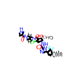 COc1ccc(-c2cnc(C(=O)Nc3ccc(C(=O)N4C[C@@H]5CN(C(=O)[C@@H]6CCNC6)C[C@@H]5C4)c(Cl)c3)n2C)c(F)c1F.O=CO